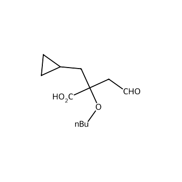 CCCCOC(CC=O)(CC1CC1)C(=O)O